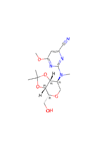 COc1cc(C#N)nc(N(C)[C@H]2CO[C@H](CO)[C@@H]3OC(C)(C)O[C@@H]32)n1